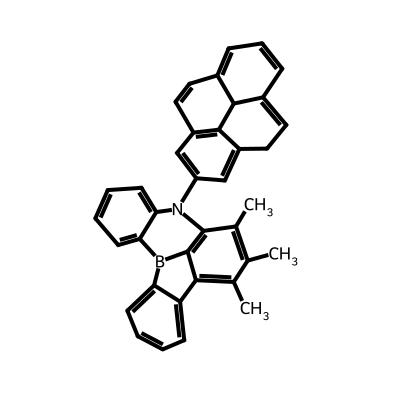 Cc1c(C)c2c3c(c1C)N(c1cc4c5c(c1)CC=C1C=CC=C(C=C4)C15)c1ccccc1B3c1ccccc1-2